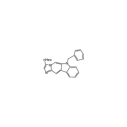 CCCCCCc1cnc2cc3c4ccccc4n(Cc4ccccc4)c3cn12